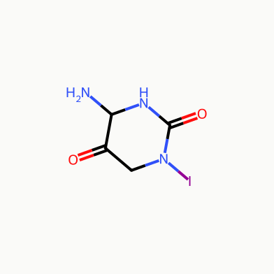 NC1NC(=O)N(I)CC1=O